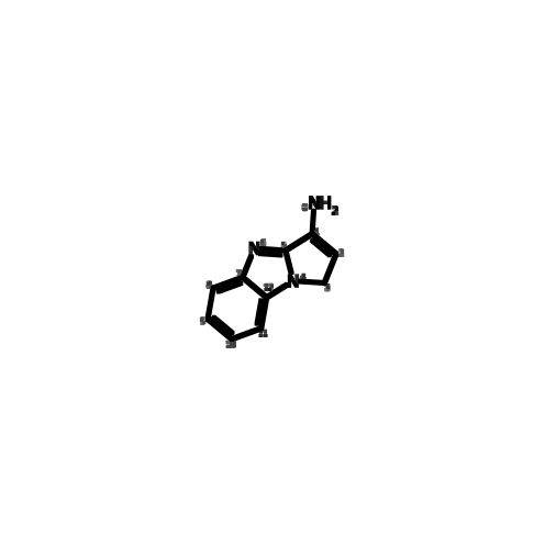 NC1=CCn2c1nc1ccccc12